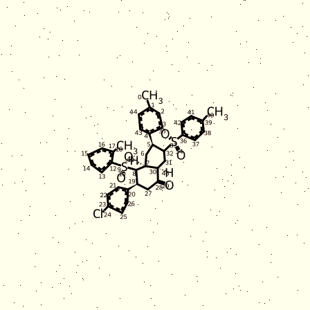 Cc1ccc([C@@H]2C[C@@H]3C(S(=O)(=O)c4ccccc4C)[C@H](c4ccc(Cl)cc4)CC(=O)[C@@H]3CC2S(=O)(=O)c2ccc(C)cc2)cc1